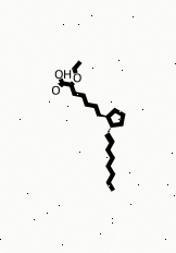 CCCCCCC=C[C@H]1CCC[C@@H]1CCCCCC(OCC)C(=O)O